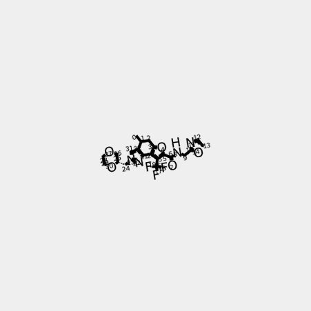 CC1Cc2oc(C(=O)NCc3ncco3)c(C(F)(F)F)c2-c2nn(C[C@H]3COCCO3)cc21